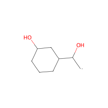 [CH2]C(O)C1CCCC(O)C1